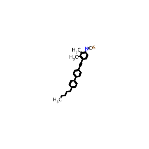 CCCCCc1ccc(-c2ccc(C#Cc3ccc(N=C=S)c(C)c3C)cc2)cc1